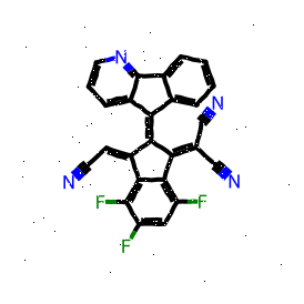 N#C/C=C1/C(=C2/c3ccccc3-c3ncccc32)C(=C(C#N)C#N)c2c(F)cc(F)c(F)c21